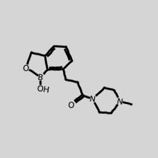 CN1CCN(C(=O)CCc2cccc3c2B(O)OC3)CC1